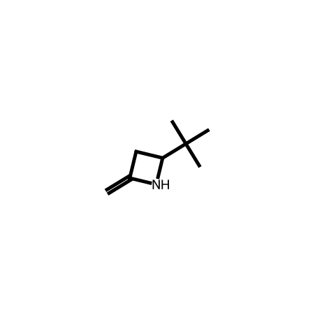 C=C1CC(C(C)(C)C)N1